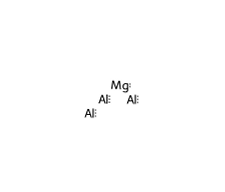 [Al].[Al].[Al].[Mg]